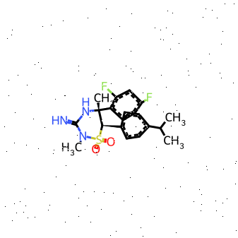 CC(C)c1ccc([C@@H]2[C@@](C)(c3ccc(F)cc3F)NC(=N)N(C)S2(=O)=O)cc1